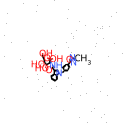 Cc1noc(-c2ccc(Cn3cc(C(=O)N[C@H]4C(O)OC(CO)[C@@H](O)[C@@H]4O)c4ccccc43)cc2)n1